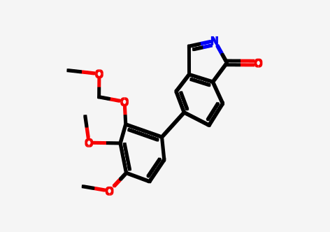 COCOc1c(-c2ccc3c(c2)C=NC3=O)ccc(OC)c1OC